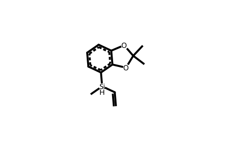 C=C[SiH](C)c1cccc2c1OC(C)(C)O2